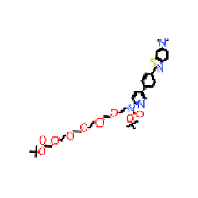 CN(C)c1ccc2nc(-c3ccc(-c4ccc(N(CCOCCOCCOCCOCCOCC(=O)OC(C)(C)C)C(=O)OC(C)(C)C)nc4)cc3)sc2c1